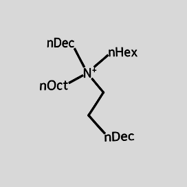 CCCCCCCCCCCC[N+](CCCCCC)(CCCCCCCC)CCCCCCCCCC